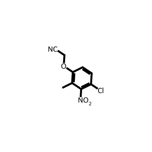 Cc1c(OCC#N)ccc(Cl)c1[N+](=O)[O-]